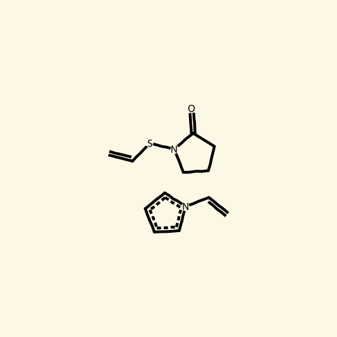 C=CSN1CCCC1=O.C=Cn1cccc1